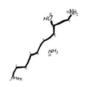 CCCCCCCCCCCCC(O)CN.N